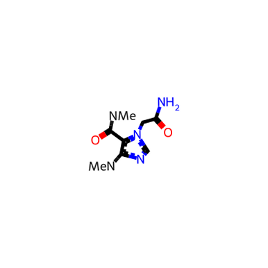 CNC(=O)c1c(NC)ncn1CC(N)=O